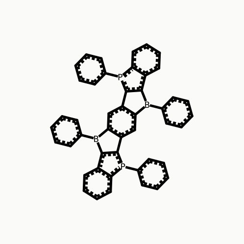 c1ccc(B2c3cc4c(cc3-c3c2c2ccccc2p3-c2ccccc2)B(c2ccccc2)c2c-4p(-c3ccccc3)c3ccccc23)cc1